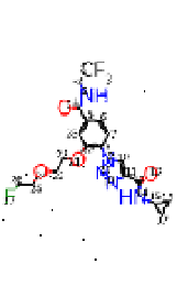 O=C(NCC(F)(F)F)c1ccc(-n2cc(C(=O)NC3CC3)nn2)c(OCCOCCF)c1